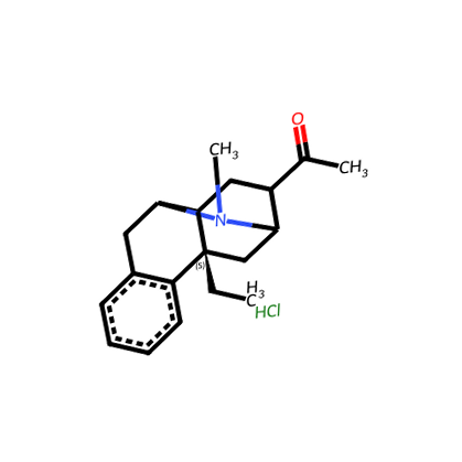 CC[C@]12CC3C(C(C)=O)CC1C(Cc1ccccc12)N3C.Cl